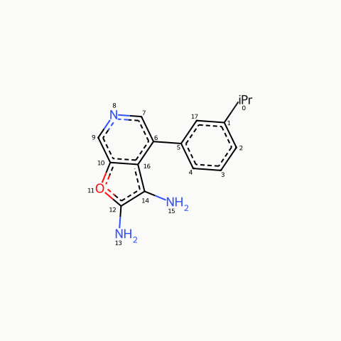 CC(C)c1cccc(-c2cncc3oc(N)c(N)c23)c1